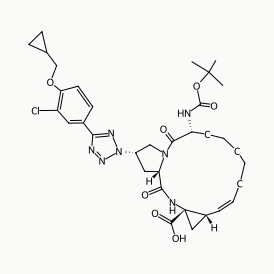 CC(C)(C)OC(=O)N[C@@H]1CCCCC/C=C\[C@@H]2C[C@]2(C(=O)O)NC(=O)[C@@H]2C[C@H](n3nnc(-c4ccc(OCC5CC5)c(Cl)c4)n3)CN2C1=O